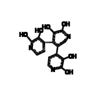 Oc1nccc(-c2cnc(O)c(O)c2-c2ccnc(O)c2O)c1O